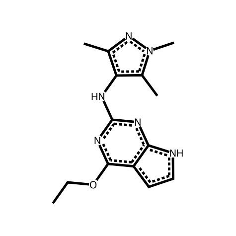 CCOc1nc(Nc2c(C)nn(C)c2C)nc2[nH]ccc12